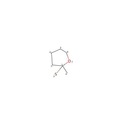 CC1([S])CCCCO1